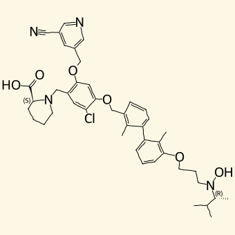 Cc1c(COc2cc(OCc3cncc(C#N)c3)c(CN3CCCC[C@H]3C(=O)O)cc2Cl)cccc1-c1cccc(OCCCN(O)[C@H](C)C(C)C)c1C